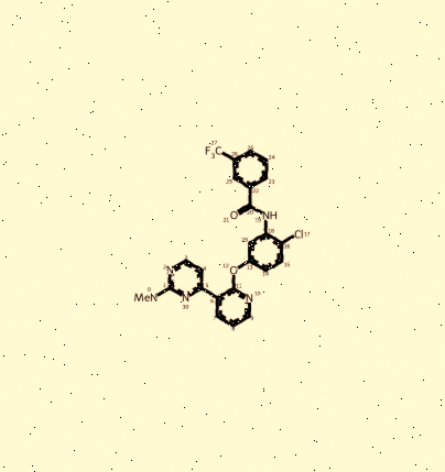 CNc1nccc(-c2cccnc2Oc2ccc(Cl)c(NC(=O)c3cccc(C(F)(F)F)c3)c2)n1